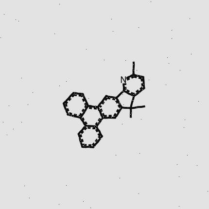 Cc1ccc2c(n1)-c1cc3c4ccccc4c4ccccc4c3cc1C2(C)C